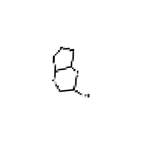 OC1CSC2CCCC2S1